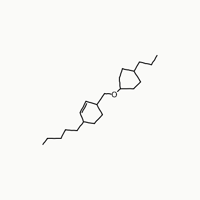 CCCCCC1C=CC(COC2CCC(CCC)CC2)CC1